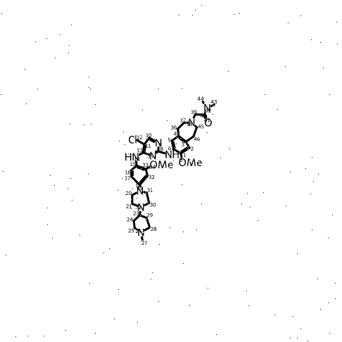 COc1cc2c(cc1Nc1ncc(Cl)c(Nc3ccc(N4CCN(C5CCN(C)CC5)CC4)cc3OC)n1)CCN(CC(=O)N(C)C)CC2